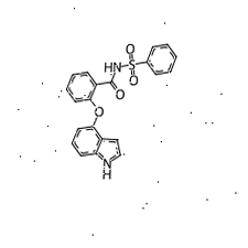 O=C(NS(=O)(=O)c1ccccc1)c1ccccc1Oc1cccc2[nH]ccc12